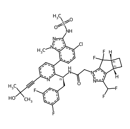 Cn1nc(NS(C)(=O)=O)c2c(Cl)ccc(-c3ccc(C#CC(C)(C)O)nc3[C@H](Cc3cc(F)cc(F)c3)NC(=O)Cn3nc(C(F)F)c4c3C(F)(F)[C@@H]3CC[C@H]43)c21